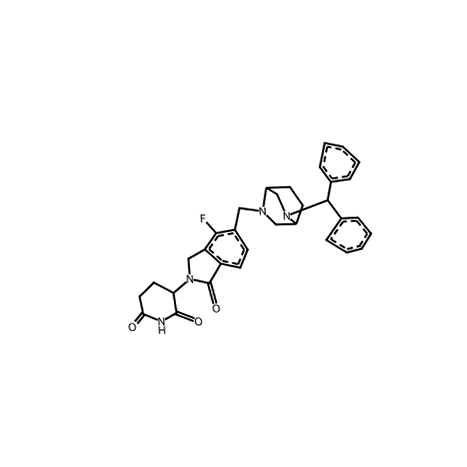 O=C1CCC(N2Cc3c(ccc(CN4CC5CCC4CN5C(c4ccccc4)c4ccccc4)c3F)C2=O)C(=O)N1